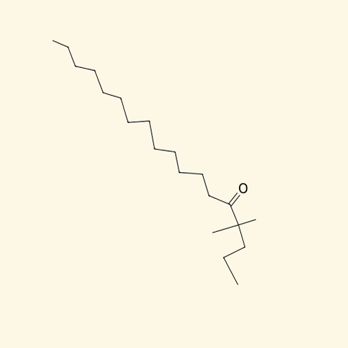 CCCCCCCCCCCCCC(=O)C(C)(C)CCC